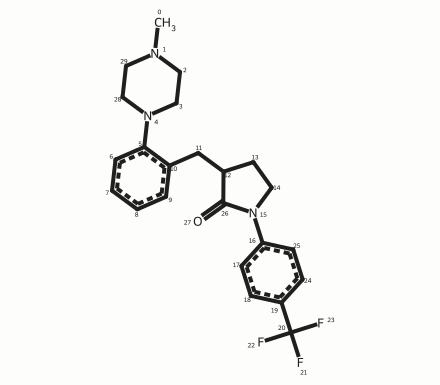 CN1CCN(c2ccccc2CC2CCN(c3ccc(C(F)(F)F)cc3)C2=O)CC1